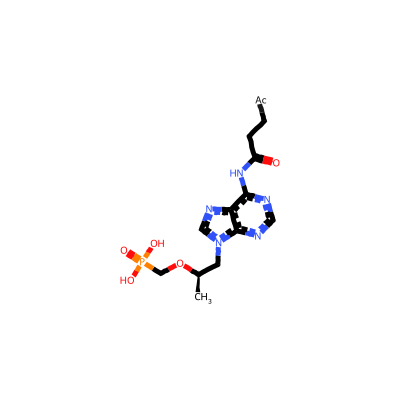 CC(=O)CCC(=O)Nc1ncnc2c1ncn2C[C@@H](C)OCP(=O)(O)O